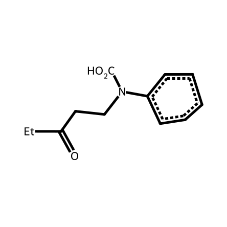 CCC(=O)CCN(C(=O)O)c1ccccc1